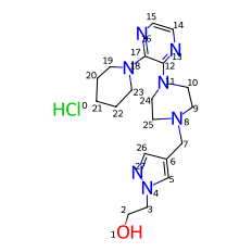 Cl.OCCn1cc(CN2CCN(c3nccnc3N3CCCCC3)CC2)cn1